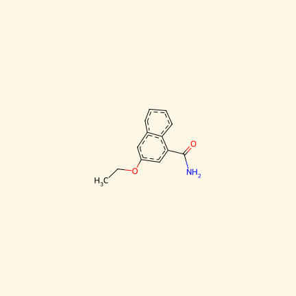 CCOc1cc(C(N)=O)c2ccccc2c1